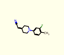 Cc1ccc(N2CCC(=CC#N)CC2)cc1F